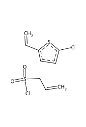 C=CCS(=O)(=O)Cl.C=Cc1ccc(Cl)s1